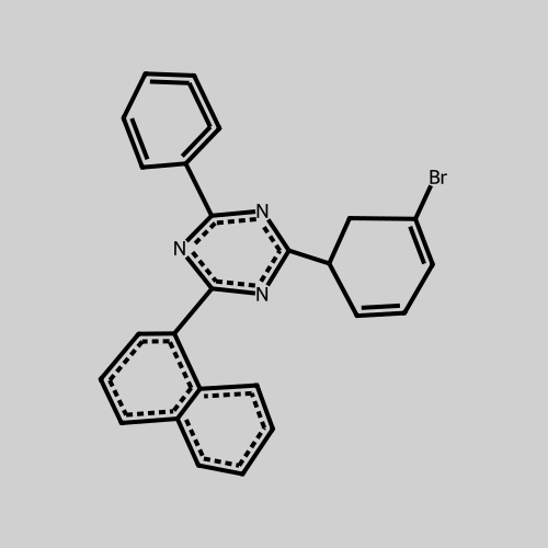 BrC1=CC=CC(c2nc(C3=C=C=CC=C3)nc(-c3cccc4ccccc34)n2)C1